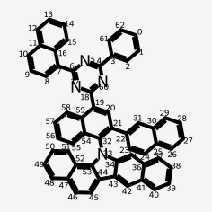 c1ccc(-c2nc(-c3cccc4ccccc34)nc(-c3cc(-c4ccc5ccccc5c4)c(-n4c5cc6ccccc6cc5c5ccc6ccccc6c54)c4ccccc34)n2)cc1